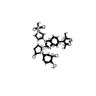 COc1ccc(N2C(=O)CC[C@H]2c2nc3cc(-c4c(C)noc4C)ccc3n2[C@@H]2CCN(S(C)(=O)=O)C2)cc1Cl